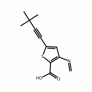 C=Nc1cc(C#CC(C)(C)C)sc1C(=O)O